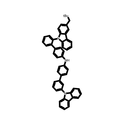 CC(C)(C)Cc1ccc2c(c1)c1ccccc1n2-c1ccccc1-c1ccc(Nc2ccc(-c3cccc(-n4c5ccccc5c5ccccc54)c3)cc2)cc1